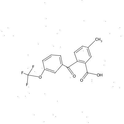 Cc1ccc(C(=O)c2cccc(OC(F)(F)F)c2)c(C(=O)O)c1